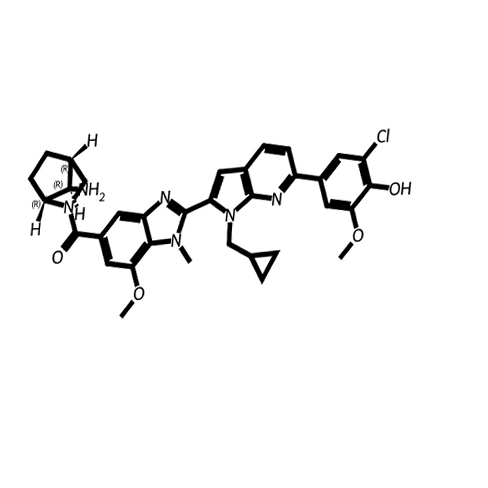 COc1cc(-c2ccc3cc(-c4nc5cc(C(=O)N6C[C@H]7CC[C@@H]6[C@@H]7N)cc(OC)c5n4C)n(CC4CC4)c3n2)cc(Cl)c1O